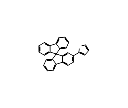 c1coc(-c2ccc3c(c2)C2(c4ccccc4-c4ccccc42)c2ccccc2-3)c1